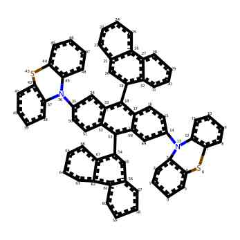 c1ccc2c(c1)Sc1ccccc1N2c1ccc2c(-c3cc4ccccc4c4ccccc34)c3cc(N4c5ccccc5Sc5ccccc54)ccc3c(-c3cc4ccccc4c4ccccc34)c2c1